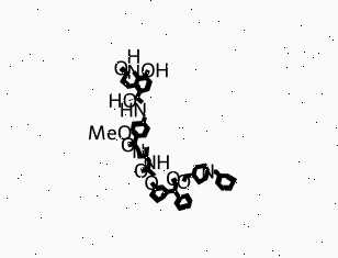 COc1cc(CNC[C@H](O)c2ccc(O)c3[nH]c(=O)ccc23)ccc1C(=O)N1CC(NC(=O)COc2cccc(C(C(=O)OCC3CCN(Cc4ccccc4)CC3)c3ccccc3)c2)C1